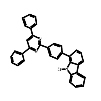 CCn1c2ccccc2c2cccc(-c3ccc(-c4nc(-c5ccccc5)cc(-c5ccccc5)n4)cc3)c21